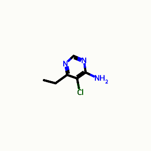 CCc1ncnc(N)c1Cl